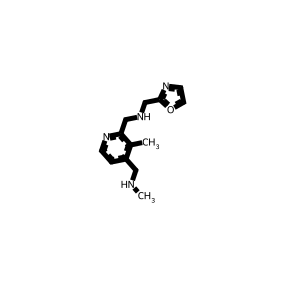 CNCc1ccnc(CNCc2ncco2)c1C